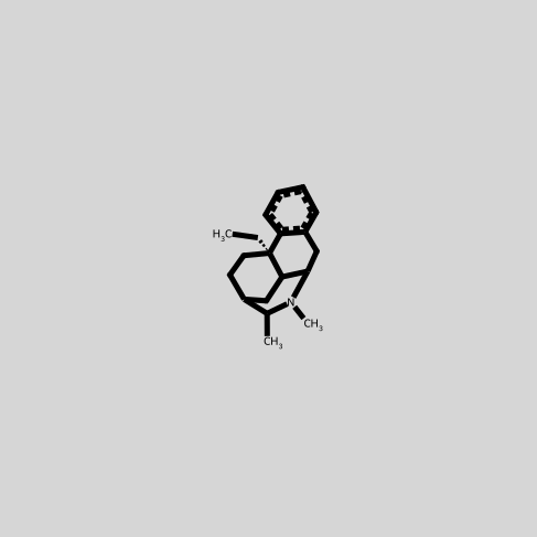 CC[C@@]12CCC3CC1C(Cc1ccccc12)N(C)C3C